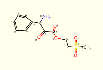 CS(=O)(=O)CCOC(=O)C(=O)C(N)c1ccccc1